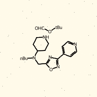 CC(C)(C)OC=O.CCCCN(Cc1nc(-c2ccncc2)no1)C1CCNCC1